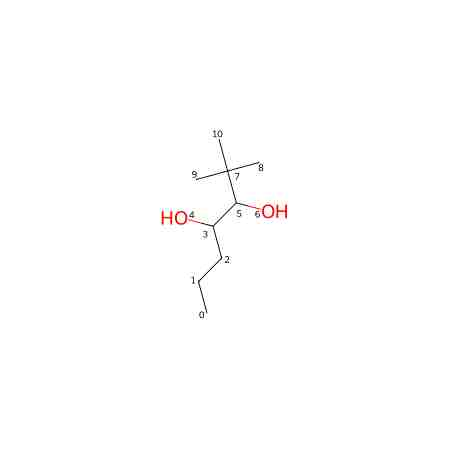 CCCC(O)C(O)C(C)(C)C